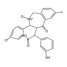 O=C(O)C(c1cccc(O)c1)C1C(=O)c2cc(I)ccc2C[NH+]([O-])C1c1ccc(Cl)cc1